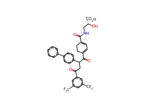 O=C(NC[C@@H](O)C(=O)O)C1=CC=C(C(=O)C(CC(=O)c2cc(C(F)(F)F)cc(C(F)(F)F)c2)c2ccc(-c3ccccc3)cc2)CC1